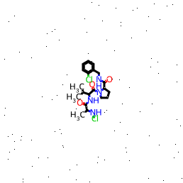 CC(NCl)C(=O)NC(C(=O)N1CCCC1C(=O)NCc1ccccc1Cl)C(C)C